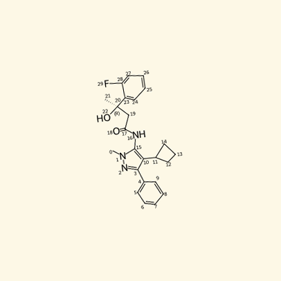 Cn1nc(-c2ccccc2)c(C2CCC2)c1NC(=O)C[C@@](C)(O)c1ccccc1F